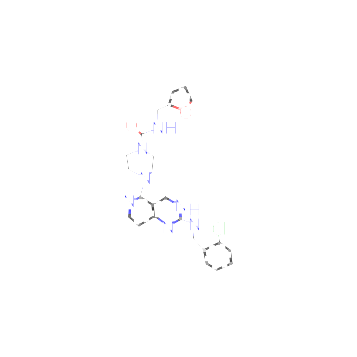 O=C(NCc1ccco1)N1CCN(c2nccc3nc(NCc4ccccc4Cl)ncc23)CC1